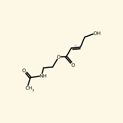 CC(=O)NCCOC(=O)/C=C/CO